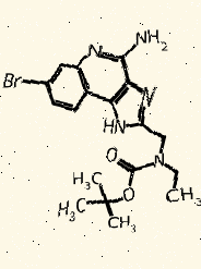 CCN(Cc1nc2c(N)nc3cc(Br)ccc3c2[nH]1)C(=O)OC(C)(C)C